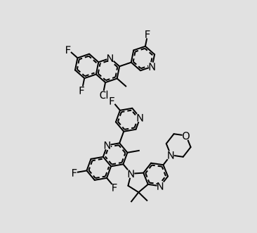 Cc1c(-c2cncc(F)c2)nc2cc(F)cc(F)c2c1Cl.Cc1c(-c2cncc(F)c2)nc2cc(F)cc(F)c2c1N1CC(C)(C)c2ncc(N3CCOCC3)cc21